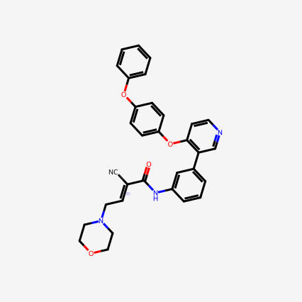 N#C/C(=C\CN1CCOCC1)C(=O)Nc1cccc(-c2cnccc2Oc2ccc(Oc3ccccc3)cc2)c1